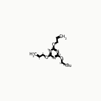 C=CCOc1nc(OCC=C)nc(OCC(C)(C)C)n1